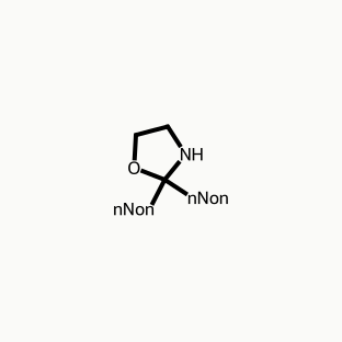 CCCCCCCCCC1(CCCCCCCCC)NCCO1